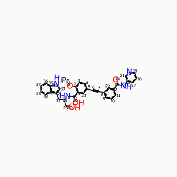 CC(C)Oc1ccc(C#Cc2cccc(C(=O)Nc3cccnc3)c2)cc1C(O)N[C@@H](CO)Cc1c[nH]c2ccccc12